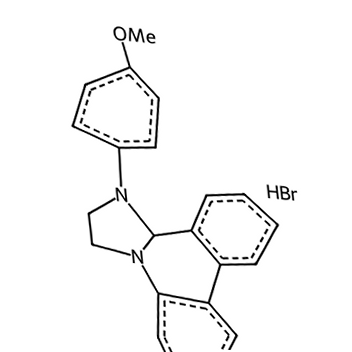 Br.COc1ccc(N2CCN3c4ccccc4-c4ccccc4C23)cc1